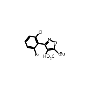 CC(C)(C)c1onc(-c2c(Cl)cccc2Br)c1C(=O)O